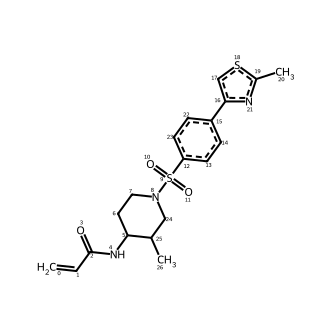 C=CC(=O)NC1CCN(S(=O)(=O)c2ccc(-c3csc(C)n3)cc2)CC1C